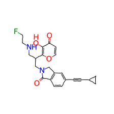 O=C1c2ccc(C#CC3CC3)cc2CN1CC(CNCCF)c1occc(=O)c1O